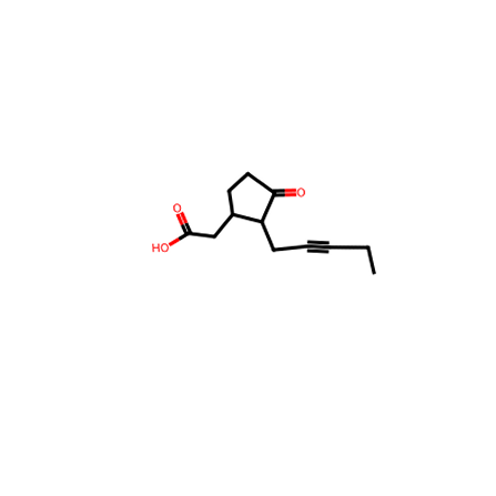 CCC#CCC1C(=O)CCC1CC(=O)O